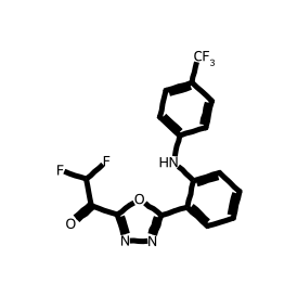 O=C(c1nnc(-c2ccccc2Nc2ccc(C(F)(F)F)cc2)o1)C(F)F